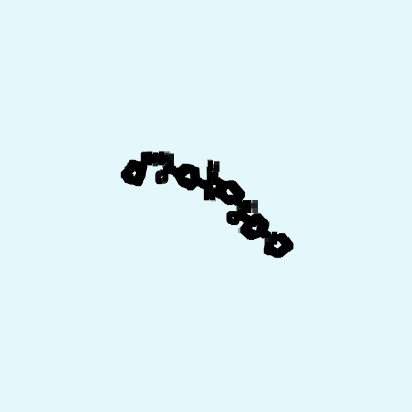 O=C(N=[N+]=Nc1ccccc1)c1ccc(-c2nc3cc(NC(=O)c4ccc(N5CCCC5)cc4)ccc3[nH]2)cc1